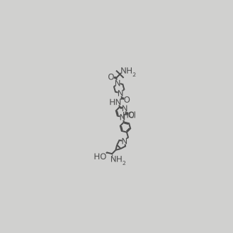 CC(C)(N)C(=O)N1CCN(C(=O)Nc2ccn(-c3ccc(CN4CC5C(C4)C5[C@H](N)CO)cc3)c(=O)n2)CC1.Cl